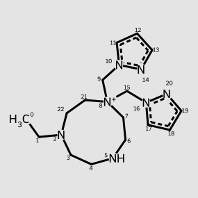 CCN1CCNCC[N+](Cn2cccn2)(Cn2cccn2)CC1